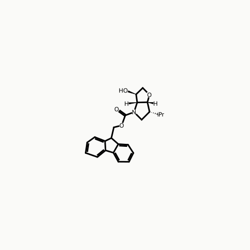 CC(C)[C@@H]1CN(C(=O)OCC2c3ccccc3-c3ccccc32)[C@H]2[C@@H]1OC[C@@H]2O